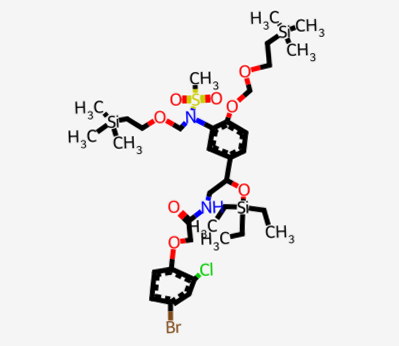 CC[Si](CC)(CC)OC(CNC(=O)COc1ccc(Br)cc1Cl)c1ccc(OCOCC[Si](C)(C)C)c(N(COCC[Si](C)(C)C)S(C)(=O)=O)c1